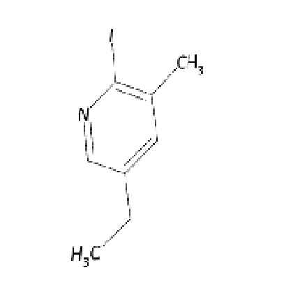 CCc1cnc(I)c(C)c1